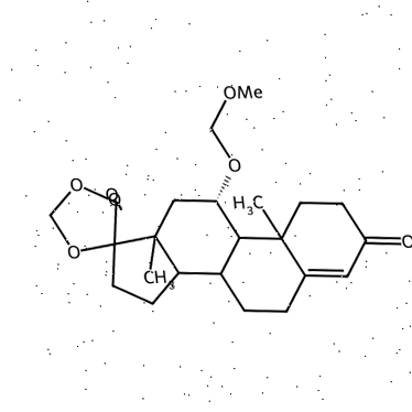 COCO[C@H]1CC2(C)C(CCC23OCOC32COCO2)C2CCC3=CC(=O)CCC3(C)C21